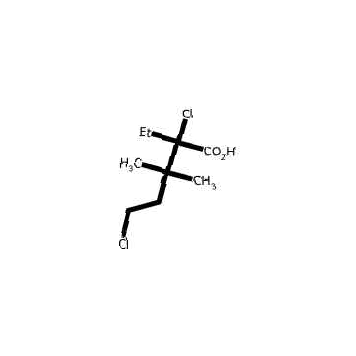 CCC(Cl)(C(=O)O)C(C)(C)CCCl